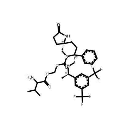 CC(C)C(N)C(=O)OCOC(=O)N1C[C@@]2(CCC(=O)N2)CC[C@@]1(CO[C@H](C)c1cc(C(F)(F)F)cc(C(F)(F)F)c1)c1ccccc1